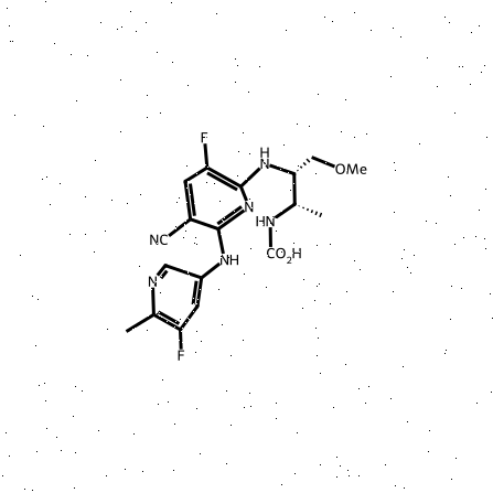 COC[C@@H](Nc1nc(Nc2cnc(C)c(F)c2)c(C#N)cc1F)[C@H](C)NC(=O)O